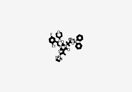 CCc1ccc(F)cc1C(Cn1c(=O)n(C(C)(C)C(=O)O[Si](c2ccccc2)(c2ccccc2)C(C)(C)C)c(=O)c2c(C)c(-n3nccn3)sc21)OC1CCOCC1